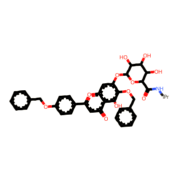 CC(C)NC(=O)C1OC(Oc2cc3oc(-c4ccc(OCc5ccccc5)cc4)cc(=O)c3c(O)c2OCc2ccccc2)C(O)C(O)C1O